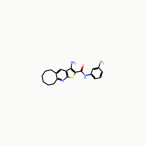 Nc1c(C(=O)Nc2cccc(C(F)(F)F)c2)sc2nc3c(cc12)CCCCCC3